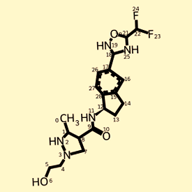 CC1NN(CCO)CC1C(=O)N[C@@H]1CCc2cc(C3NOC(C(F)F)N3)ccc21